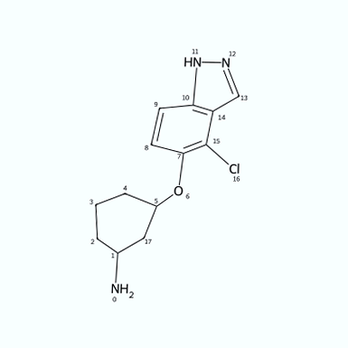 NC1CCCC(Oc2ccc3[nH]ncc3c2Cl)C1